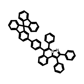 c1ccc(-c2nn3c(-c4ccccc4)c(-c4ccc(-c5ccc6c(c5)C5(c7ccccc7-c7ccccc75)c5ccccc5-6)cc4)c4ccccc4c3c2-c2ccccc2)cc1